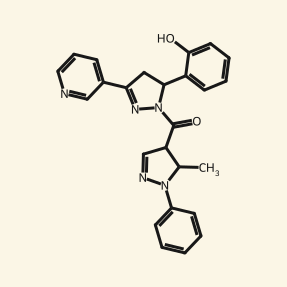 CC1C(C(=O)N2N=C(c3cccnc3)CC2c2ccccc2O)C=NN1c1ccccc1